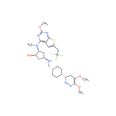 COC1=C(OC)N=NC([C@H]2CC[C@@H](CN[C@H]3C[C@@H](O)[C@@H](N(C)c4nc(OC)nc5sc(CC(F)(F)F)cc45)C3)CC2)C1